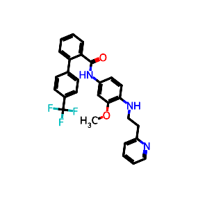 COc1cc(NC(=O)c2ccccc2-c2ccc(C(F)(F)F)cc2)ccc1NCCc1ccccn1